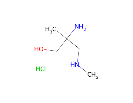 CNCC(C)(N)CO.Cl